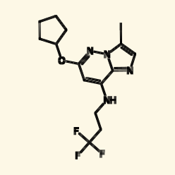 FC(F)(F)CCNc1cc(OC2CCCC2)nn2c(I)cnc12